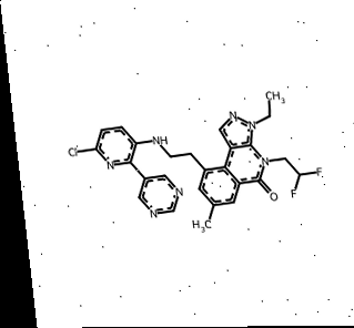 CCn1ncc2c3c(CCNc4ccc(Cl)nc4-c4cncnc4)cc(C)cc3c(=O)n(CC(F)F)c21